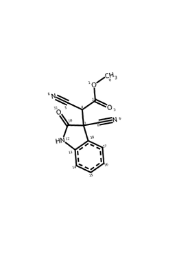 COC(=O)C(C#N)C1(C#N)C(=O)Nc2ccccc21